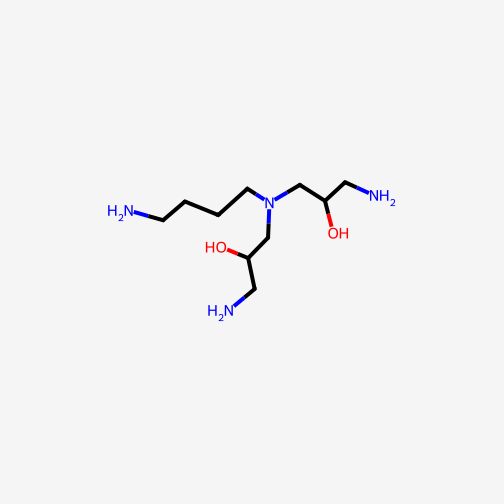 NCCCCN(CC(O)CN)CC(O)CN